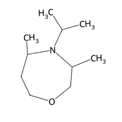 CC(C)N1C(C)CCOCC1C